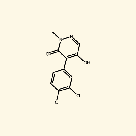 Cn1ncc(O)c(-c2ccc(Cl)c(Cl)c2)c1=O